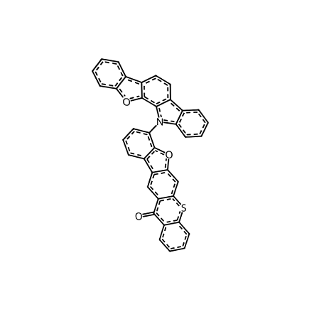 O=c1c2ccccc2sc2cc3oc4c(-n5c6ccccc6c6ccc7c8ccccc8oc7c65)cccc4c3cc12